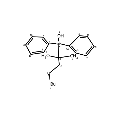 CC[C@@H](C)CCC(C)(C)[Si](O)(c1ccccc1)c1ccccc1